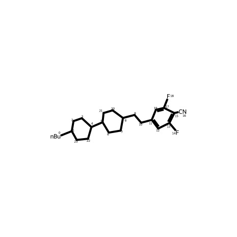 CCCCC1CCC(C2CCC(CCc3cc(F)c(C#N)c(F)c3)CC2)CC1